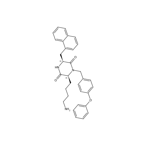 NCCCC[C@H]1C(=O)N[C@@H](Cc2cccc3ccccc23)C(=O)N1Cc1ccc(Oc2ccccc2)cc1